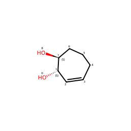 O[C@H]1C=CCCC[C@@H]1O